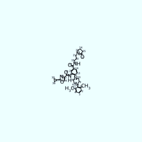 Cc1cccc(C)c1N1CCN(c2ccc(C(=O)NCCCN3CCCC3=O)cc2NC(=O)c2coc(C3CC3)n2)CC1